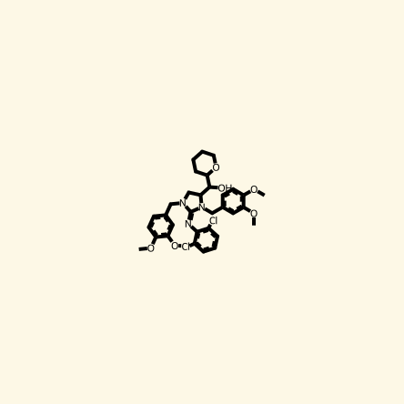 COc1ccc(CN2CC(C(O)C3CCCCO3)N(Cc3ccc(OC)c(OC)c3)C2=Nc2c(Cl)cccc2Cl)cc1OC